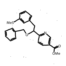 COC(=O)c1ccc(C(Cc2cccc(SC)c2)OCc2ccccc2)nc1